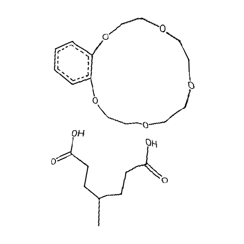 CC(CCC(=O)O)CCC(=O)O.c1ccc2c(c1)OCCOCCOCCOCCO2